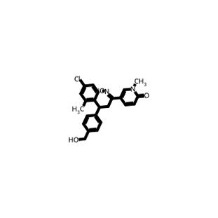 Cc1cc(Cl)ccc1C(C/C(=N\O)c1ccc(=O)n(C)c1)c1ccc(CO)cc1